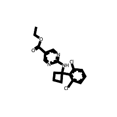 CCOC(=O)c1cnc(NC2(c3c(Cl)cccc3Cl)CCC2)nc1